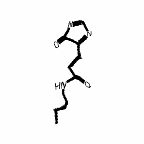 CCCNC(=O)C=CC1=NC=NC1=O